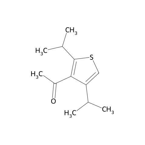 CC(=O)c1c(C(C)C)csc1C(C)C